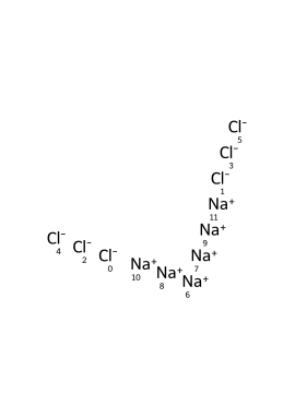 [Cl-].[Cl-].[Cl-].[Cl-].[Cl-].[Cl-].[Na+].[Na+].[Na+].[Na+].[Na+].[Na+]